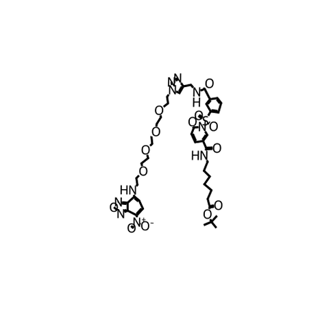 CC(C)(C)OC(=O)CCCCCCNC(=O)c1ccc(=O)n(S(=O)(=O)c2cccc(C(=O)NCc3cn(CCOCCOCCOCCOCCNc4ccc([N+](=O)[O-])c5nonc45)nn3)c2)c1